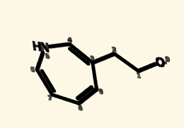 [O]CCC1=CNC=CC=C1